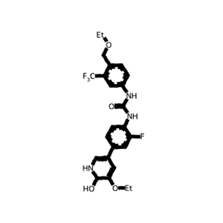 CCOCc1ccc(NC(=O)Nc2ccc(C3=CNC(O)C(OCC)=C3)cc2F)cc1C(F)(F)F